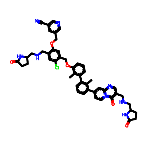 Cc1c(OCc2cc(OCc3cncc(C#N)c3)c(CNCC3CCC(=O)N3)cc2Cl)cccc1-c1cccc(-c2ccn3c(=O)c(CNCC4CCC(=O)N4)cnc3c2)c1C